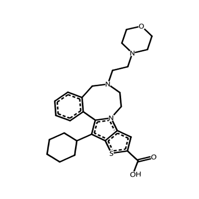 O=C(O)c1cc2c(s1)c(C1CCCCC1)c1n2CCN(CCN2CCOCC2)Cc2ccccc2-1